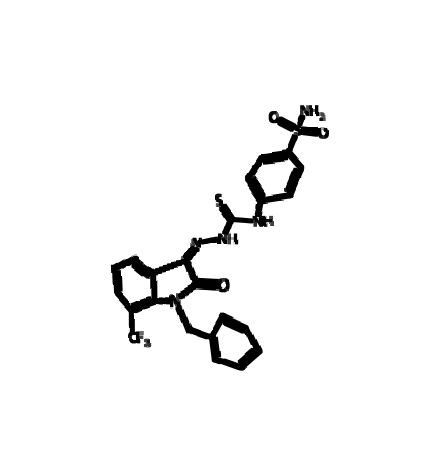 NS(=O)(=O)c1ccc(NC(=S)NN=C2C(=O)N(Cc3ccccc3)c3c2cccc3C(F)(F)F)cc1